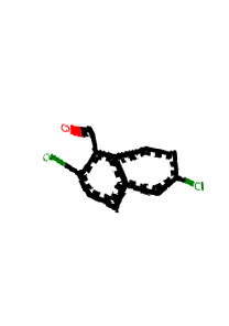 O=Cc1c(Cl)ccc2cc(Cl)ccc12